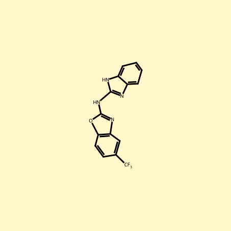 FC(F)(F)c1ccc2oc(Nc3nc4ccccc4[nH]3)nc2c1